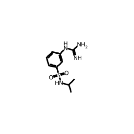 CC(C)NS(=O)(=O)c1cccc(NC(=N)N)c1